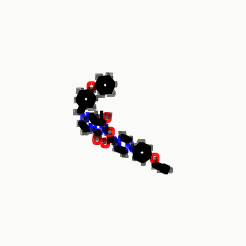 C#CCOc1ccc(N2CCN(C(=O)ON3C(=O)[C@H]4CN(Cc5ccc(Oc6ccccc6)cc5)CCN4C3=O)CC2)cc1